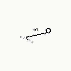 CP(C)CCCCCCCCc1ccccc1.Cl